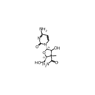 CC1(C(N)=O)C(O)[C@@H](n2ccc(N)nc2=O)O[C@@H]1CO